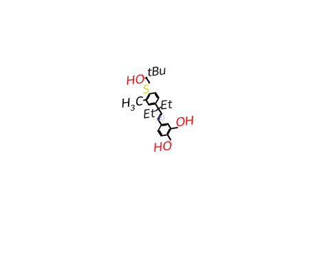 CCC(/C=C/c1ccc(CO)c(CO)c1)(CC)c1ccc(SCC(O)C(C)(C)C)c(C)c1